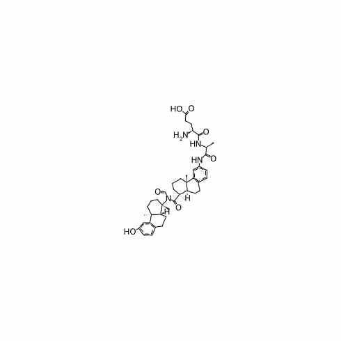 C[C@H](NC(=O)[C@@H](N)CCC(=O)O)C(=O)Nc1ccc2c(c1)[C@@]1(C)CCC[C@](C)(C(=O)N(C=O)[C@@]3(C)CCC[C@]4(C)c5cc(O)ccc5CC[C@@H]34)[C@@H]1CC2